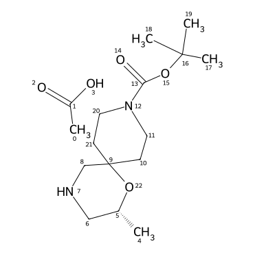 CC(=O)O.C[C@@H]1CNCC2(CCN(C(=O)OC(C)(C)C)CC2)O1